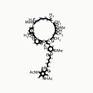 CO[C@H]1C[C@@H]2CC[C@@H](C)[C@@](O)(O2)C(=O)C(=O)N2CCCC[C@H]2C(=O)O[C@H]([C@H](C)C[C@@H]2CC[C@@H](OC(=O)CCCCCNC(=O)c3c(I)c(NC(C)=O)c(I)c(NC(C)=O)c3I)[C@H](OC)C2)CC(=O)[C@H](C)/C=C(\C)[C@@H](O)[C@@H](OC)C(=O)[C@H](C)C[C@H](C)/C=C/C=C/C=C/1C